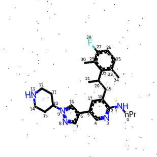 CCCNc1ncc(-c2cnn(C3CCNCC3)c2)cc1CC(C)c1c(C)ccc(F)c1C